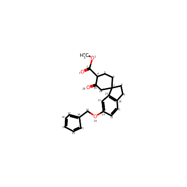 COC(=O)C1CCC2(CCc3ccc(OCc4ccccc4)cc32)CC1=O